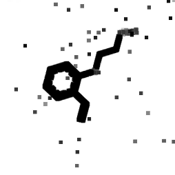 C=Cc1ccccc1OCCCCCCCCC